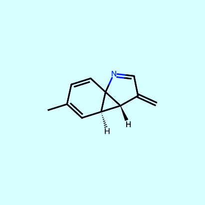 C=C1C=NC23C=CC(C)=C[C@@H]2[C@@H]13